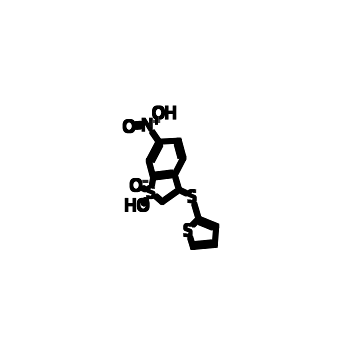 O=[N+](O)c1ccc2c(c1)S([O-])(O)CC2Sc1cccs1